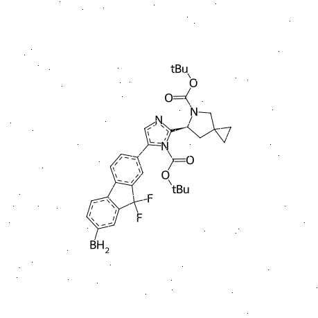 Bc1ccc2c(c1)C(F)(F)c1cc(-c3cnc([C@@H]4CC5(CC5)CN4C(=O)OC(C)(C)C)n3C(=O)OC(C)(C)C)ccc1-2